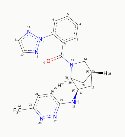 O=C(c1ccccc1-n1nccn1)N1C[C@@H]2C[C@@H](Nc3ccc(C(F)(F)F)nn3)[C@@H]1C2